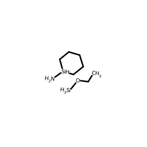 CCO[SiH3].N[SiH]1CCCCC1